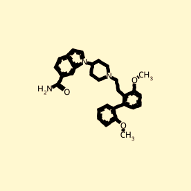 COc1ccccc1-c1cccc(OC)c1CCN1CCC(n2ccc3ccc(C(N)=O)cc32)CC1